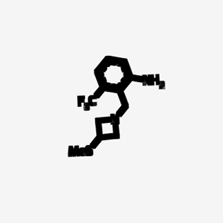 CSC1CN(Cc2c(N)cccc2C(F)(F)F)C1